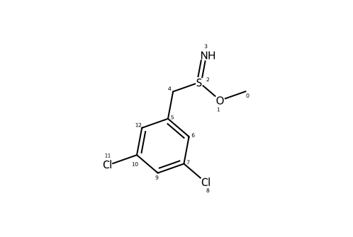 COS(=N)Cc1cc(Cl)cc(Cl)c1